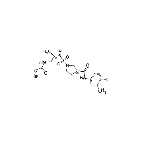 Cc1cc(NC(=O)[C@H]2CCN(S(=O)(=O)N[C@H](C)CNC(=O)OC(C)(C)C)C2)ccc1F